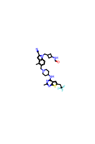 Cc1nc(NC2CCN(Cc3ccc4c(cc(C#N)n4CC4CC(NC=O)C4)c3C)CC2)c2cc(CC(F)(F)F)sc2n1